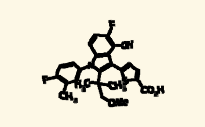 COCC(C)(C)c1c(-c2ccc(C(=O)O)s2)c2c(O)c(F)ccc2n1-c1ccc(F)c(C)c1